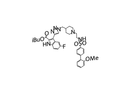 COc1ccccc1-c1ccc(S(=O)(=O)NCCN2CCC(Cn3cc(-c4c(C(=O)OCC(C)C)[nH]c5ccc(F)cc45)nn3)CC2)cc1